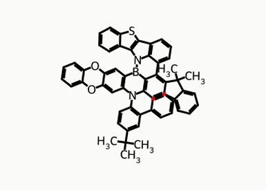 CC(C)(C)c1ccc(N2c3cc4c(cc3B3c5c2cc2c(c5-c5cccc6c7sc8ccccc8c7n3c56)C(C)(C)c3ccccc3-2)Oc2ccccc2O4)c(-c2ccccc2)c1